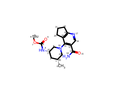 C[C@@H]1C[C@H](NC(=O)OC(C)(C)C)CN(c2c(C(N)=O)cnc3c2CCC3)C1